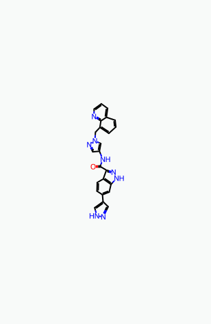 O=C(Nc1cnn(Cc2cccc3cccnc23)c1)c1n[nH]c2cc(-c3cn[nH]c3)ccc12